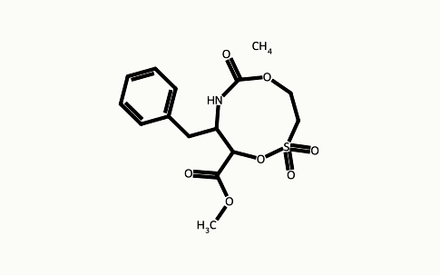 C.COC(=O)C1OS(=O)(=O)CCOC(=O)NC1Cc1ccccc1